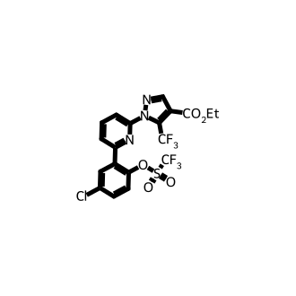 CCOC(=O)c1cnn(-c2cccc(-c3cc(Cl)ccc3OS(=O)(=O)C(F)(F)F)n2)c1C(F)(F)F